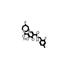 Cc1ccc(CNC(=O)c2cn3c(c(O)c2=O)C(=O)N2CCC(F)CC3C2)c(F)c1